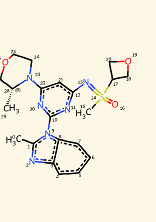 Cc1nc2ccccc2n1-c1nc(N=S(C)(=O)C2COC2)cc(N2CCOC[C@H]2C)n1